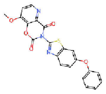 COc1ccnc2c(=O)n(-c3nc4ccc(Oc5ccccc5)cc4s3)c(=O)oc12